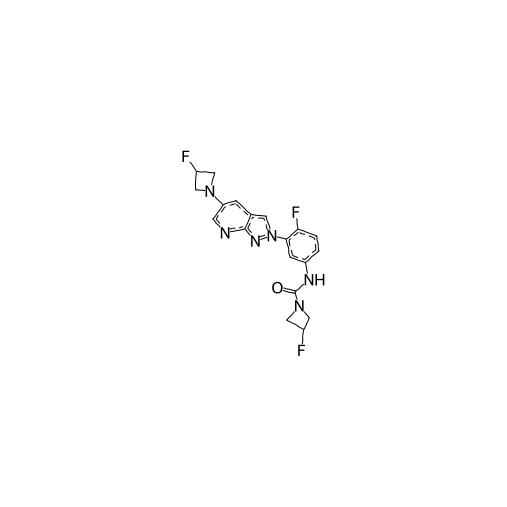 O=C(Nc1ccc(F)c(-n2cc3cc(N4CC(F)C4)cnc3n2)c1)N1CC(F)C1